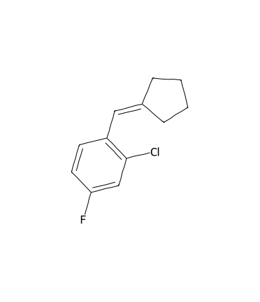 Fc1ccc(C=C2CCCC2)c(Cl)c1